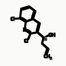 C=CC[C@@H](O)c1cc2cccc(Cl)c2nc1Cl